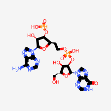 Nc1ncnc2c1ncn2[C@@H]1O[C@H](CCOP(=O)(O)O[C@@H]2[C@H](O)[C@@H](CO)O[C@H]2n2cnc3c(=O)[nH]cnc32)[C@@H](O[PH](=O)O)[C@H]1O